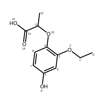 CCOc1cc(O)ccc1OC(C)C(=O)O